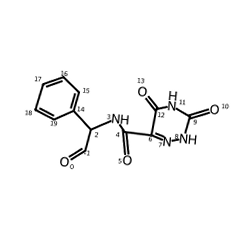 O=[C]C(NC(=O)c1n[nH]c(=O)[nH]c1=O)c1ccccc1